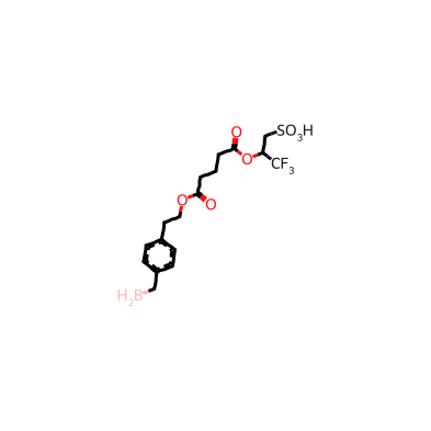 BCc1ccc(CCOC(=O)CCCC(=O)OC(CS(=O)(=O)O)C(F)(F)F)cc1